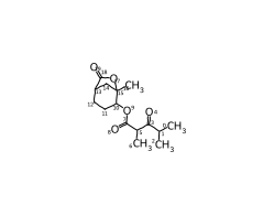 CC(C)C(=O)C(C)C(=O)OC1CCC2CC1(C)OC2=O